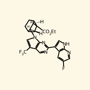 CCOC(=O)[C@@H]1C2CCC(CC2)[C@H]1n1cc(C(F)(F)F)c2cnc(-c3c[nH]c4ncc(F)cc34)nc21